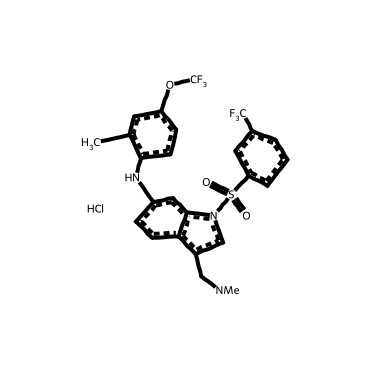 CNCc1cn(S(=O)(=O)c2cccc(C(F)(F)F)c2)c2cc(Nc3ccc(OC(F)(F)F)cc3C)ccc12.Cl